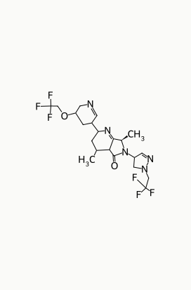 CC1CC(C2C=NCC(OCC(F)(F)F)C2)N=C2C1C(=O)N(C1C=NN(CC(F)(F)F)C1)[C@@H]2C